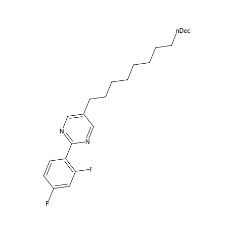 CCCCCCCCCCCCCCCCCCc1cnc(-c2ccc(F)cc2F)nc1